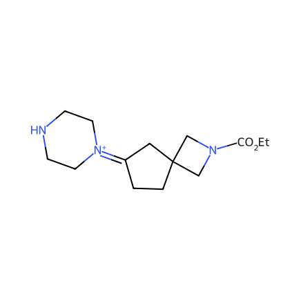 CCOC(=O)N1CC2(CCC(=[N+]3CCNCC3)C2)C1